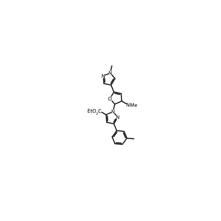 CCOC(=O)c1cc(-c2cccc(C)c2)nn1C1OC(c2cnn(C)c2)=CC1NC